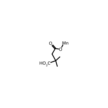 CC(C)(CC(=O)[O][Mn])C(=O)O